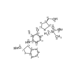 CO[C@H]1Cc2ccccc2[C@H]1Nc1ncnc(O[C@@H]2C[C@@H](CO)[C@H](O[Si](C)(C)C(C)(C)C)C2)c1F